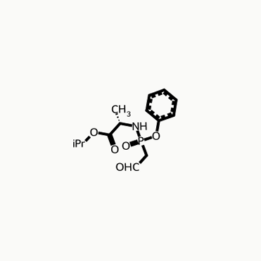 CC(C)OC(=O)[C@H](C)NP(=O)(CC=O)Oc1ccccc1